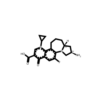 N[C@@H]1C[C@H]2CCCc3c(c(F)cc4c(=O)c(C(=O)O)cn(C5CC5)c34)N2C1